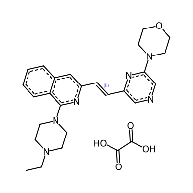 CCN1CCN(c2nc(/C=C/c3cncc(N4CCOCC4)n3)cc3ccccc23)CC1.O=C(O)C(=O)O